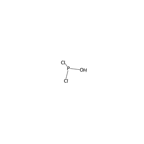 OP(Cl)Cl